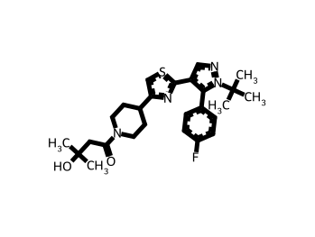 CC(C)(O)CC(=O)N1CCC(c2csc(-c3cnn(C(C)(C)C)c3-c3ccc(F)cc3)n2)CC1